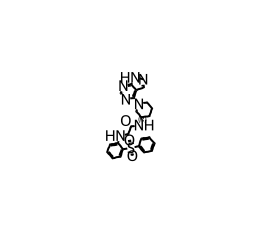 O=C(CNc1ccccc1S(=O)(=O)c1ccccc1)N[C@@H]1CCCN(c2ncnc3[nH]ncc23)C1